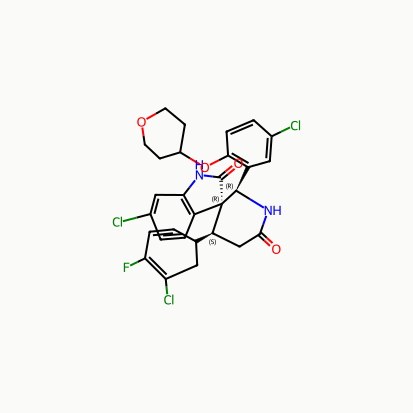 O=C1C[C@@H](C2C=CC(F)=C(Cl)C2)[C@]2(C(=O)Nc3cc(Cl)ccc32)[C@@H](c2cc(Cl)ccc2OC2CCOCC2)N1